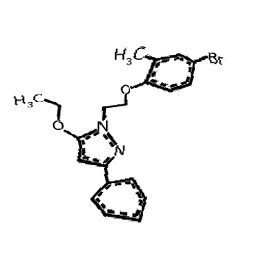 CCOc1cc(-c2ccccc2)nn1CCOc1ccc(Br)cc1C